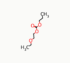 CCCOC(=O)OCCOCC